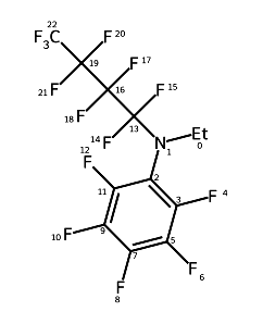 CCN(c1c(F)c(F)c(F)c(F)c1F)C(F)(F)C(F)(F)C(F)(F)C(F)(F)F